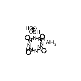 O=S(=O)(O)O.[AlH3].c1ccc2c(c1)-c1nc-2nc2[nH]c(nc3nc(nc4[nH]c(n1)c1ccccc41)-c1ccccc1-3)c1ccccc21